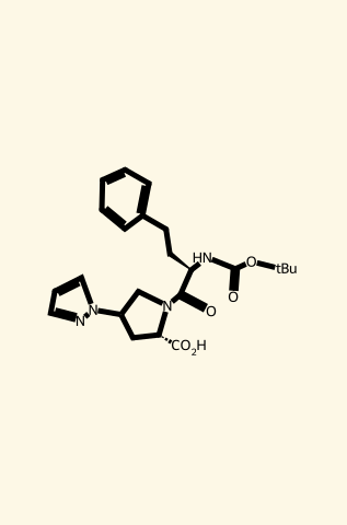 CC(C)(C)OC(=O)N[C@H](CCc1ccccc1)C(=O)N1CC(n2cccn2)C[C@H]1C(=O)O